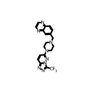 FC(F)(F)c1nnc2ccc(N3CCN(Cc4ccc5nccnc5c4)CC3)nn12